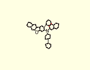 c1ccc(-c2ccc(N(c3ccc4ccccc4c3)c3cc4oc5cc6ccccc6cc5c4cc3-c3ccccc3)cc2)cc1